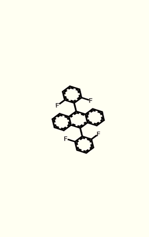 Fc1cccc(F)c1-c1c2ccccc2c(-c2c(F)cccc2F)c2ccccc12